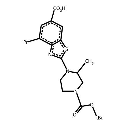 CC(C)c1cc(C(=O)O)cc2sc(N3CCN(C(=O)OC(C)(C)C)CC3C)nc12